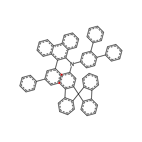 c1ccc(-c2cccc(-c3c(N(c4ccc(-c5ccccc5)c(-c5ccccc5)c4)c4ccc5c(c4)C4(c6ccccc6-c6ccccc64)c4ccccc4-5)c4ccccc4c4ccccc34)c2)cc1